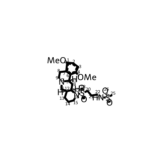 COc1ccc(OC)c2c1CCN1C[C@@H]3CCCN(S(=O)(=O)CCCNS(C)(=O)=O)[C@@H]3C[C@@H]21